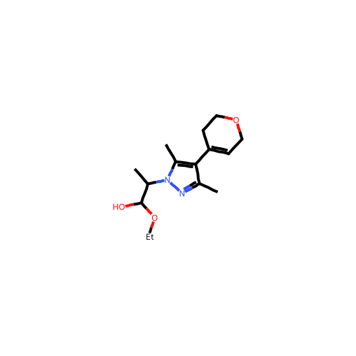 CCOC(O)C(C)n1nc(C)c(C2=CCOCC2)c1C